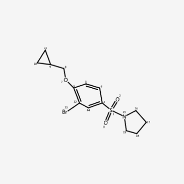 O=S(=O)(c1ccc(OCC2CC2)c(Br)c1)N1CCCC1